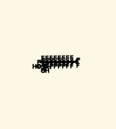 CC(F)C(F)(F)C(F)(F)C(F)(F)C(F)(F)C(F)(F)C(F)(F)C(F)(F)C(F)(F)[Si](O)(O)O